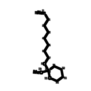 CCCCCCCCCCCCCCCCO[Si]1(OC)CCCCO1